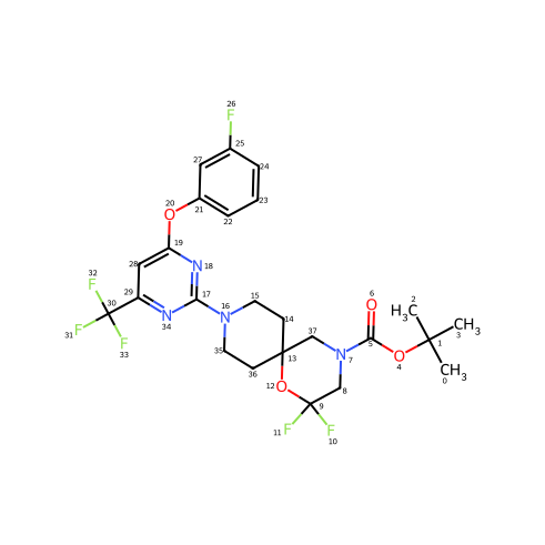 CC(C)(C)OC(=O)N1CC(F)(F)OC2(CCN(c3nc(Oc4cccc(F)c4)cc(C(F)(F)F)n3)CC2)C1